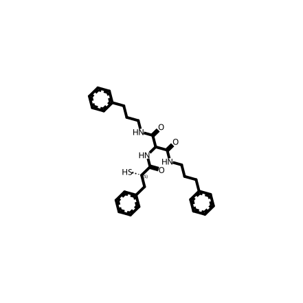 O=C(NCCCc1ccccc1)C(NC(=O)[C@@H](S)Cc1ccccc1)C(=O)NCCCc1ccccc1